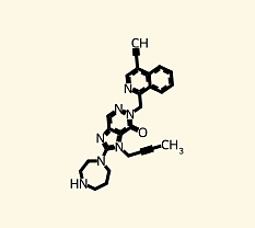 C#Cc1cnc(Cn2ncc3nc(N4CCCNCC4)n(CC#CC)c3c2=O)c2ccccc12